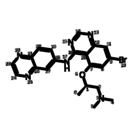 C[C@H](CN(C)C)Oc1cc(Br)cc2ncnc(Nc3ccc4nccnc4c3)c12